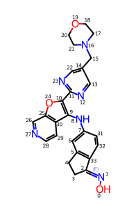 O/N=C1\CCc2cc(Nc3c(-c4ncc(CN5CCOCC5)cn4)oc4cnccc34)ccc21